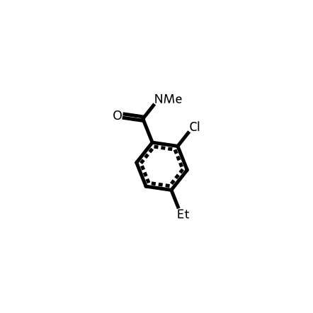 CCc1ccc(C(=O)NC)c(Cl)c1